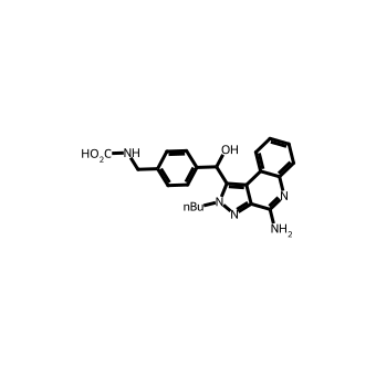 CCCCn1nc2c(N)nc3ccccc3c2c1C(O)c1ccc(CNC(=O)O)cc1